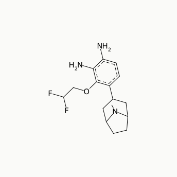 CN1C2CCC1CC(c1ccc(N)c(N)c1OCC(F)F)C2